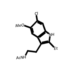 CCc1[nH]c2cc(Cl)c(OC)cc2c1CCNC(C)=O